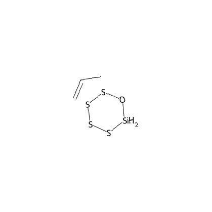 C=CC.O1[SiH2]SSSS1